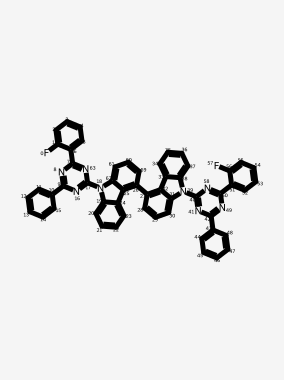 Fc1ccccc1-c1nc(-c2ccccc2)nc(-n2c3ccccc3c3c(-c4cccc5c4c4ccccc4n5-c4nc(-c5ccccc5)nc(-c5ccccc5F)n4)cccc32)n1